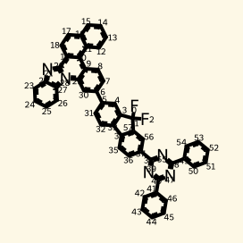 FC1(F)c2cc(-c3ccc4c5c6ccccc6ccc5c5nc6ccccc6n5c4c3)ccc2-c2ccc(-c3nc(-c4ccccc4)nc(-c4ccccc4)n3)cc21